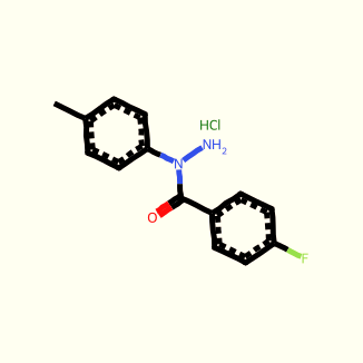 Cc1ccc(N(N)C(=O)c2ccc(F)cc2)cc1.Cl